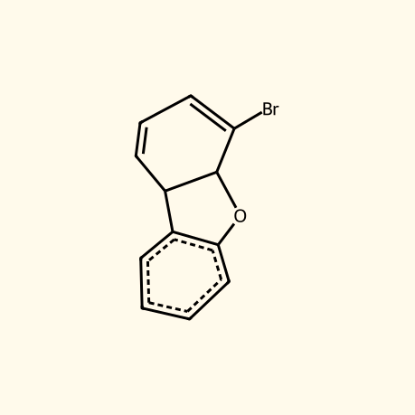 BrC1=CC=CC2c3ccccc3OC12